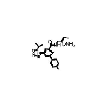 C/C=C(/CNC(=O)c1cc(-c2ccc(C)cc2)cc(-n2nnnc2C(C)C)c1)ON